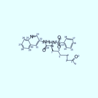 CC(=O)CCCCC[C@H](NS(=O)(=O)c1ccccc1)C(=O)Nc1cnc2ccccc2c1